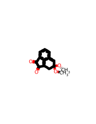 COC1(OC)C=c2cccc3c2=C(C1)C(=O)C3=O